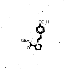 CC(C)(C)OC(=O)C1CCCN1C=Cc1ccc(C(=O)O)cc1